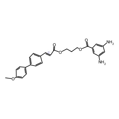 COc1ccc(-c2ccc(/C=C/C(=O)OCCCOC(=O)c3cc(N)cc(N)c3)cc2)cc1